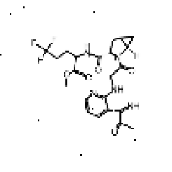 COC(=O)C(CCC(F)(F)F)NC(=O)[C@@H]1CC2C[C@H]2N1C(=O)CNc1ncccc1C(=N)C(C)=O